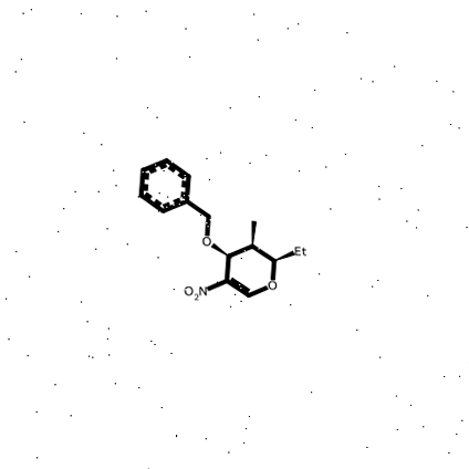 CC[C@H]1OC=C([N+](=O)[O-])[C@@H](OCc2ccccc2)[C@H]1C